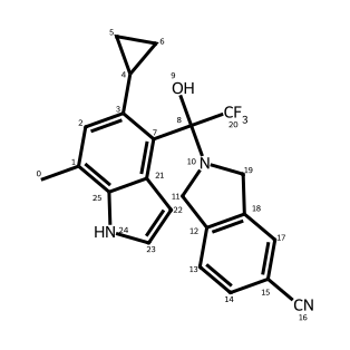 Cc1cc(C2CC2)c(C(O)(N2Cc3ccc(C#N)cc3C2)C(F)(F)F)c2cc[nH]c12